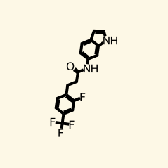 O=C(CCc1ccc(C(F)(F)F)cc1F)Nc1ccc2cc[nH]c2c1